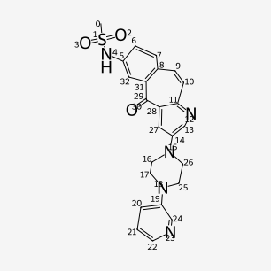 CS(=O)(=O)Nc1ccc2ccc3ncc(N4CCN(c5cccnc5)CC4)cc3c(=O)c2c1